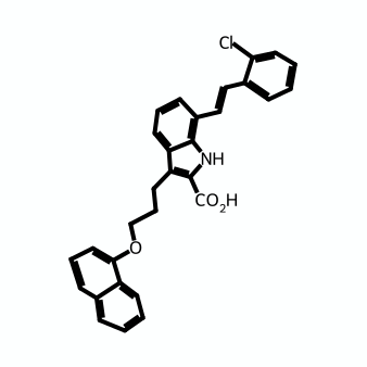 O=C(O)c1[nH]c2c(/C=C/c3ccccc3Cl)cccc2c1CCCOc1cccc2ccccc12